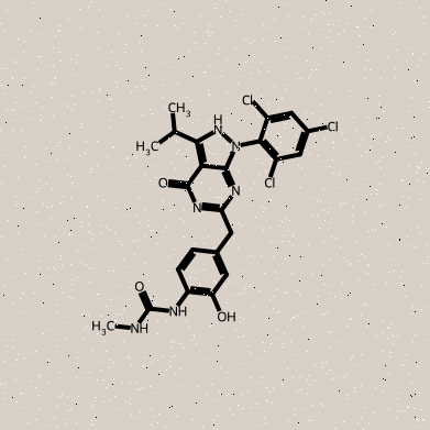 CNC(=O)Nc1ccc(Cc2nc3n(-c4c(Cl)cc(Cl)cc4Cl)[nH]c(C(C)C)c-3c(=O)n2)cc1O